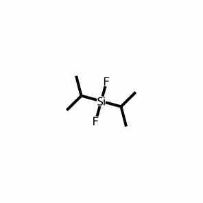 CC(C)[Si](F)(F)C(C)C